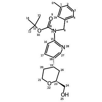 Cc1cccc(CN(C(=O)OC(C)(C)C)c2ccc([C@H]3CCO[C@H](CO)C3)cn2)c1